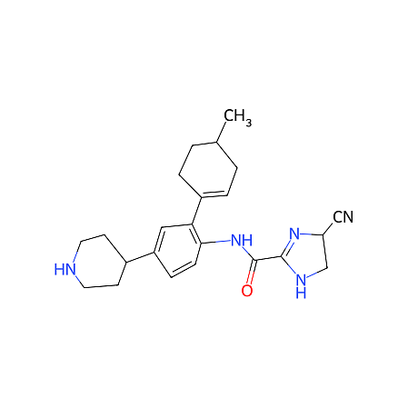 CC1CC=C(c2cc(C3CCNCC3)ccc2NC(=O)C2=NC(C#N)CN2)CC1